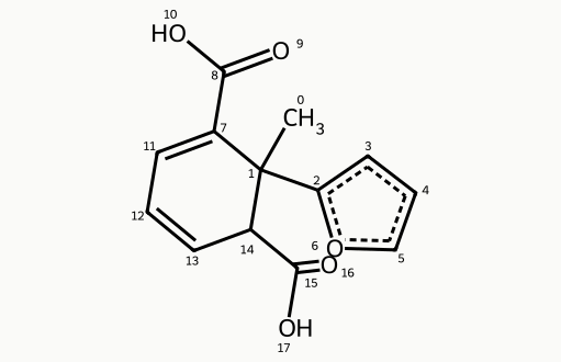 CC1(c2ccco2)C(C(=O)O)=CC=CC1C(=O)O